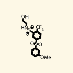 COc1cccc(S(=O)(=O)c2ccc(C(F)(F)F)c(S(=O)(=O)NCCO)c2)c1